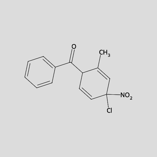 CC1=CC(Cl)([N+](=O)[O-])C=CC1C(=O)c1ccccc1